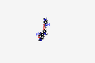 CCn1c2ccc(OCC(=O)Nc3ccc(N(C)C)cc3)cc2c2c3c(c4c(c21)CCc1nn(C)cc1-4)C(=O)NC3